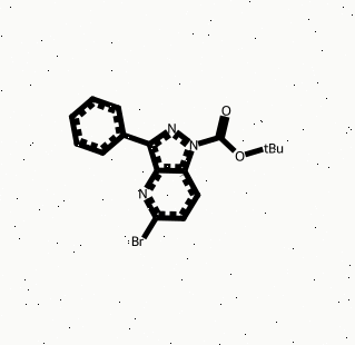 CC(C)(C)OC(=O)n1nc(-c2ccccc2)c2nc(Br)ccc21